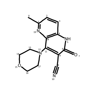 Cc1ccc2[nH]c(=O)c(C#N)c(N3CCOCC3)c2n1